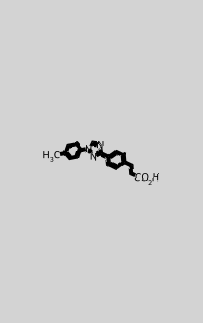 Cc1ccc(-n2cnc(-c3ccc(CCC(=O)O)cc3)n2)cc1